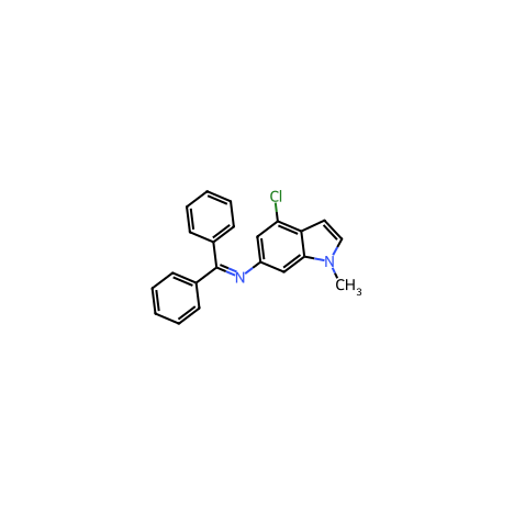 Cn1ccc2c(Cl)cc(N=C(c3ccccc3)c3ccccc3)cc21